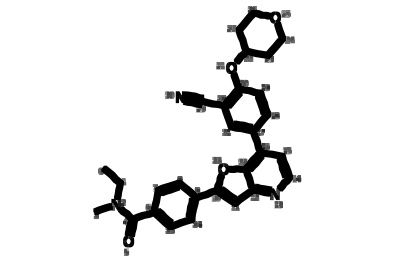 CCN(C)C(=O)c1ccc(-c2cc3nccc(-c4ccc(OC5CCOCC5)c(C#N)c4)c3o2)cc1